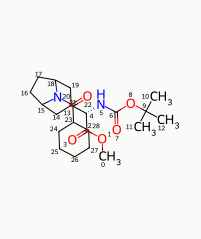 COC(=O)[C@@H](NC(=O)OC(C)(C)C)C1CC2CCC(C1)N2C(=O)C1CCCCC1